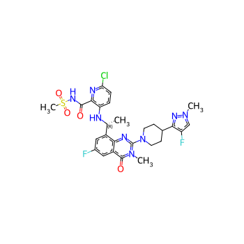 C[C@@H](Nc1ccc(Cl)nc1C(=O)NS(C)(=O)=O)c1cc(F)cc2c(=O)n(C)c(N3CCC(c4nn(C)cc4F)CC3)nc12